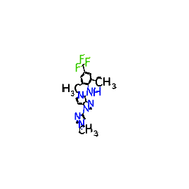 Cc1cc(C(F)(F)F)cc(C)c1Nc1nccc2c1ncn2-c1cn(C)cn1